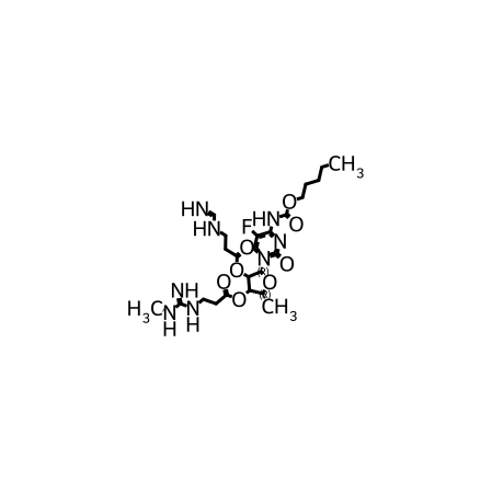 CCCCCOC(=O)Nc1nc(=O)n([C@@H]2O[C@H](C)C(OC(=O)CCNC(=N)NC)C2OC(=O)CCNC=N)cc1F